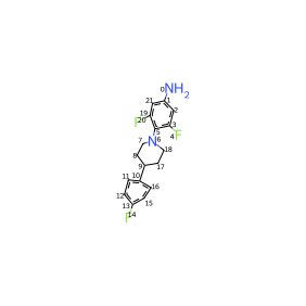 Nc1cc(F)c(N2CCC(c3ccc(F)cc3)CC2)c(F)c1